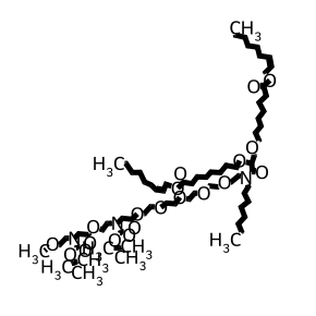 CCCCCC/C=C\COC(=O)CCCCCCCOCC(OCCCCCCCC(=O)OC/C=C\CCCCCC)C(=O)N(CCCCCCCC)CCOCCOCCOCCOCCOC(=O)CN(CCOC(=O)CN(CCOC)C(=O)OC(C)(C)C)C(=O)OC(C)(C)C